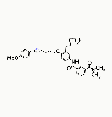 COc1ccc(/C=C/CCCCOc2ccc(NC(=O)c3cccc(C(=O)N(C)C)c3)cc2CCC(=O)O)cc1